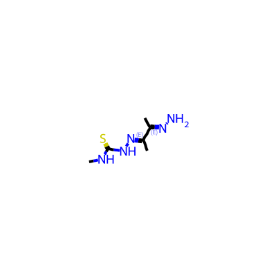 CNC(=S)N/N=C(C)/C(C)=N/N